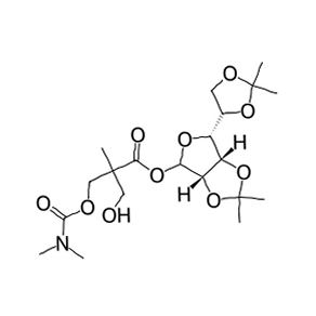 CN(C)C(=O)OCC(C)(CO)C(=O)OC1O[C@H](C2COC(C)(C)O2)[C@@H]2OC(C)(C)O[C@H]12